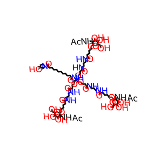 CC(=O)NC1C(OCCCCC(=O)NCCCNC(=O)CCOCC(COCCC(=O)NCCCNC(=O)CCCCOC2OC(CO)C(O)C(O)C2NC(C)=O)(COCCC(=O)NCCCNC(=O)CCCCOC2OC(CO)C(O)C(O)C2NC(C)=O)NC(=O)CCCCCCCCCCC(=O)N2CC[C@@H](O)C2)OC(CO)C(O)C1O